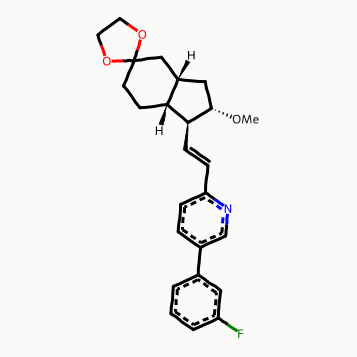 CO[C@H]1C[C@H]2CC3(CC[C@H]2[C@@H]1/C=C/c1ccc(-c2cccc(F)c2)cn1)OCCO3